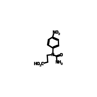 NC(=O)N(CCC(=O)O)c1ccc([N+](=O)[O-])cc1